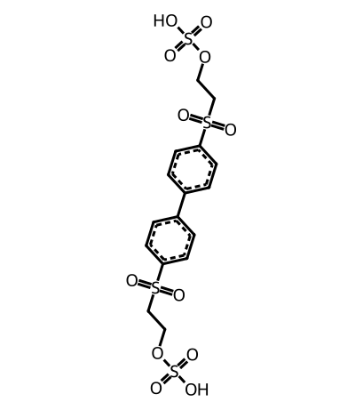 O=S(=O)(O)OCCS(=O)(=O)c1ccc(-c2ccc(S(=O)(=O)CCOS(=O)(=O)O)cc2)cc1